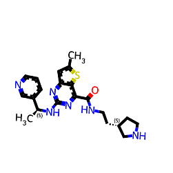 Cc1cc2nc(N[C@@H](C)c3cccnc3)nc(C(=O)NCC[C@@H]3CCNC3)c2s1